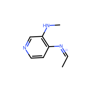 C/C=N\c1ccncc1NC